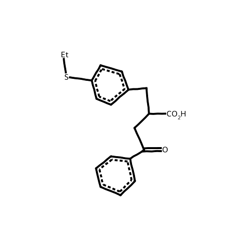 CCSc1ccc(CC(CC(=O)c2ccccc2)C(=O)O)cc1